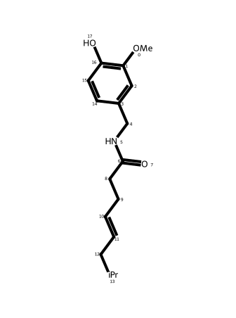 COc1cc(CNC(=O)CC/C=C/CC(C)C)ccc1O